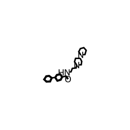 O=C(NCCCN1CCC(N2CCCCC2)CC1)c1ccc(-c2ccccc2)cc1